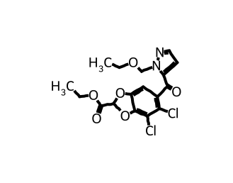 CCOCn1nccc1C(=O)c1cc2c(c(Cl)c1Cl)OC(C(=O)OCC)O2